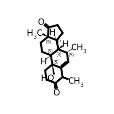 CC1C(=O)CC[C@@]2(CO)C1=C[C@@H](C)[C@@H]1[C@@H]2CC[C@]2(C)C(=O)CC[C@@H]12